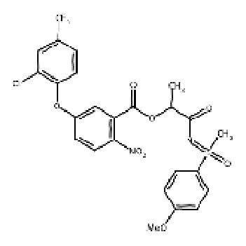 COc1ccc(S(C)(=O)=NC(=O)C(C)OC(=O)c2cc(Oc3ccc(C(F)(F)F)cc3Cl)ccc2[N+](=O)[O-])cc1